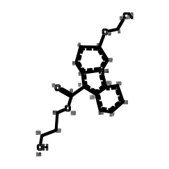 N#CCOc1ccc2c(C(=O)OCCCO)c3ccccc3n2c1